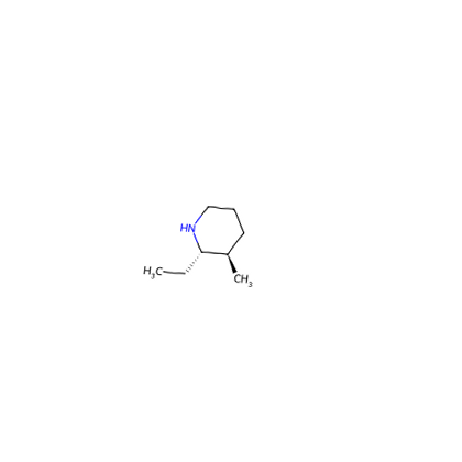 CC[C@@H]1NCCC[C@H]1C